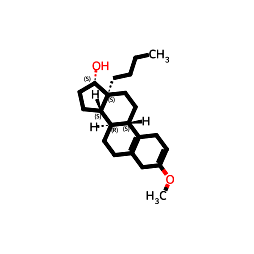 CCCC[C@]12CC[C@@H]3C4=C(CC[C@H]3[C@@H]1CC[C@@H]2O)CC(OC)=CC4